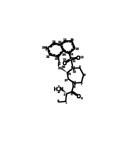 CC[C@H](N)C(=O)N1CCCN(S(=O)(=O)c2cccc3cncc(F)c23)[C@@H](C)C1